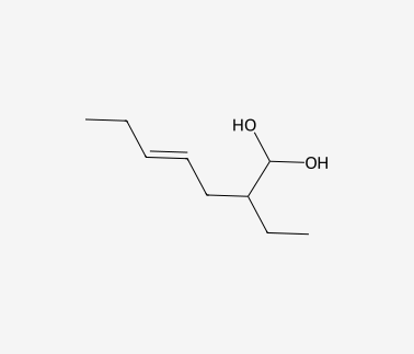 CCC=CCC(CC)C(O)O